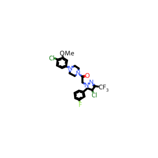 COc1cc(N2CCN(C(=O)CN3N=C(C(F)(F)F)C(Cl)C3c3cccc(F)c3)CC2)ccc1Cl